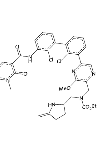 C=C1CCC(CN(Cc2ncc(-c3cccc(-c4cccc(NC(=O)c5ccnn(C)c5=O)c4Cl)c3Cl)nc2OC)C(=O)OCC)N1